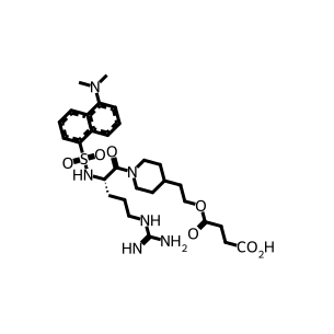 CN(C)c1cccc2c(S(=O)(=O)N[C@@H](CCCNC(=N)N)C(=O)N3CCC(CCOC(=O)CCC(=O)O)CC3)cccc12